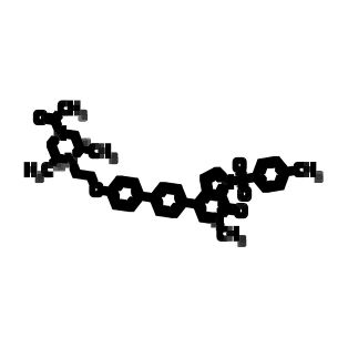 CC(=O)N1C[C@@H](C)N(CCOc2ccc(-c3ccc(-c4cn(C)c(=O)c5c4ccn5S(=O)(=O)c4ccc(C)cc4)cc3)cc2)[C@@H](C)C1